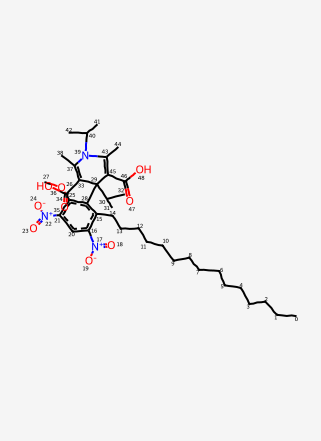 CCCCCCCCCCCCCCCc1c([N+](=O)[O-])cc([N+](=O)[O-])c(OC)c1C1(C(C)C)C(C(=O)O)=C(C)N(C(C)C)C(C)=C1C(=O)O